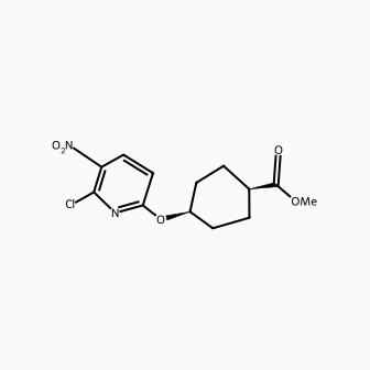 COC(=O)[C@H]1CC[C@@H](Oc2ccc([N+](=O)[O-])c(Cl)n2)CC1